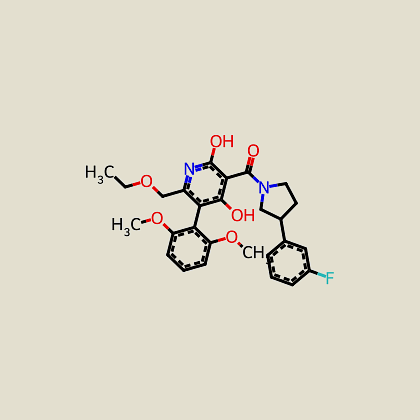 CCOCc1nc(O)c(C(=O)N2CCC(c3cccc(F)c3)C2)c(O)c1-c1c(OC)cccc1OC